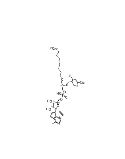 C#C[C@@]1(c2ccc3c(C)ncnn23)O[C@H](COP(=O)(O)OC[C@@H](COCCCCCCCCCCCCCCCCCC)OCc2ccc(C#N)cc2Cl)[C@@H](O)[C@H]1O